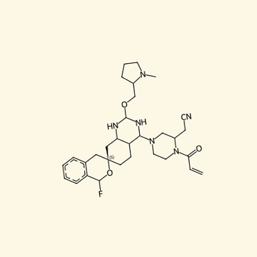 C=CC(=O)N1CCN(C2NC(OCC3CCCN3C)NC3C[C@]4(CCC32)Cc2ccccc2C(F)O4)CC1CC#N